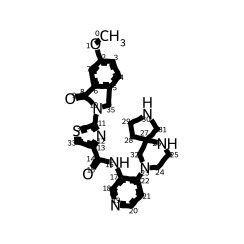 COc1ccc2c(c1)C(=O)N(c1nc(C(=O)Nc3cnccc3N3CCNC4(CCNC4)C3)cs1)C2